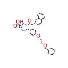 O=C(Cc1ccc2ccccc2c1)C1CN(C(=O)O)CCC1c1ccc(OCCCOCc2ccccc2)cc1